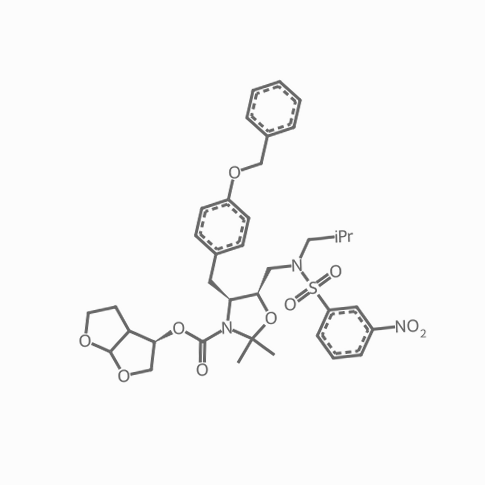 CC(C)CN(C[C@H]1OC(C)(C)N(C(=O)O[C@H]2COC3OCCC32)[C@H]1Cc1ccc(OCc2ccccc2)cc1)S(=O)(=O)c1cccc([N+](=O)[O-])c1